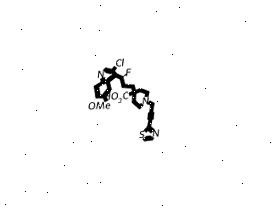 COc1ccc2ncc(Cl)c([C@H](F)CCC3(C(=O)O)CCN(CC#Cc4nccs4)CC3)c2c1